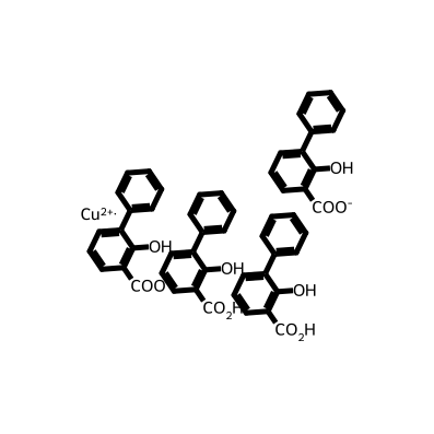 O=C(O)c1cccc(-c2ccccc2)c1O.O=C(O)c1cccc(-c2ccccc2)c1O.O=C([O-])c1cccc(-c2ccccc2)c1O.O=C([O-])c1cccc(-c2ccccc2)c1O.[Cu+2]